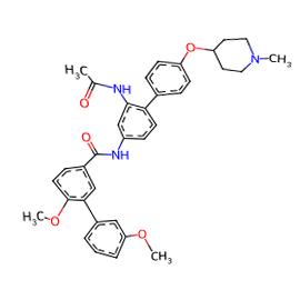 COc1cccc(-c2cc(C(=O)Nc3ccc(-c4ccc(OC5CCN(C)CC5)cc4)c(NC(C)=O)c3)ccc2OC)c1